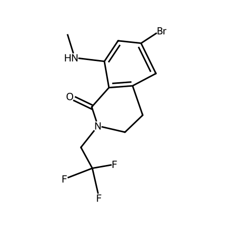 CNc1cc(Br)cc2c1C(=O)N(CC(F)(F)F)CC2